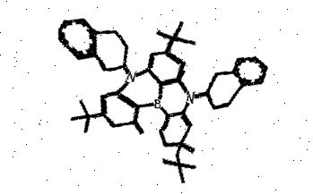 CC1CC(C(C)(C)C)=CC2=C1B1C3=CCC(C)(C(C)(C)C)C=C3N(C3CCc4ccccc4C3)C3(C)C=C(C(C)(C)C)C=C(C13)N2C1CCc2ccccc2C1